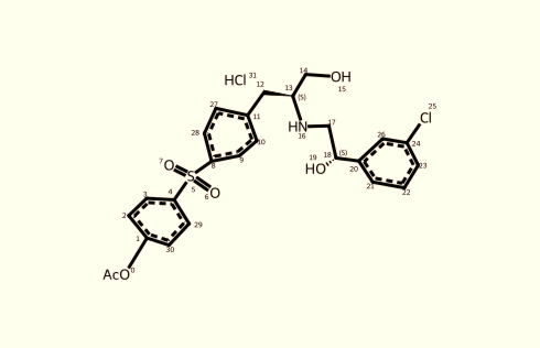 CC(=O)Oc1ccc(S(=O)(=O)c2ccc(C[C@@H](CO)NC[C@@H](O)c3cccc(Cl)c3)cc2)cc1.Cl